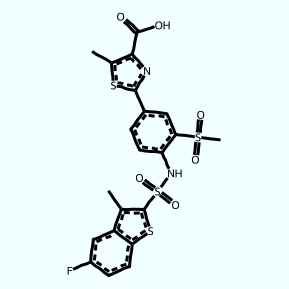 Cc1sc(-c2ccc(NS(=O)(=O)c3sc4ccc(F)cc4c3C)c(S(C)(=O)=O)c2)nc1C(=O)O